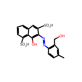 Cc1ccc(N=Nc2c(S(=O)(=O)O)cc3cccc(S(=O)(=O)O)c3c2O)c(CO)c1